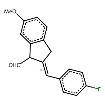 COc1ccc2c(c1)C(C=O)/C(=C/c1ccc(F)cc1)C2